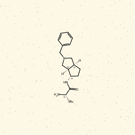 CC(C)(C)[C@H](N)C(=O)N[C@H]1CC[C@@H]2CN(Cc3ccccc3)C[C@@H]21